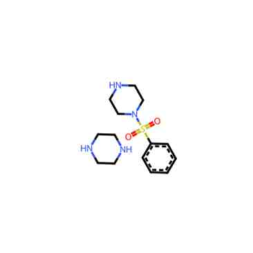 C1CNCCN1.O=S(=O)(c1ccccc1)N1CCNCC1